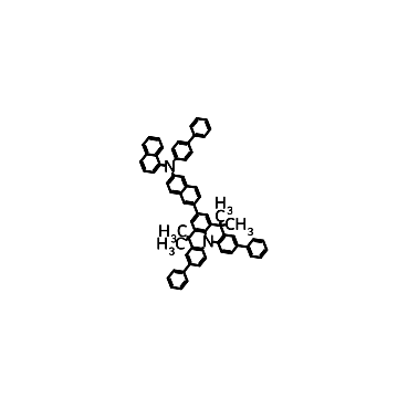 CC1(C)c2cc(-c3ccccc3)ccc2N2c3ccc(-c4ccccc4)cc3C(C)(C)c3cc(-c4ccc5cc(N(c6ccc(-c7ccccc7)cc6)c6cccc7ccccc67)ccc5c4)cc1c32